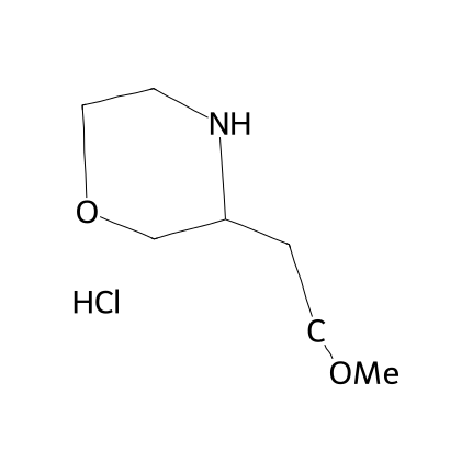 COCCC1COCCN1.Cl